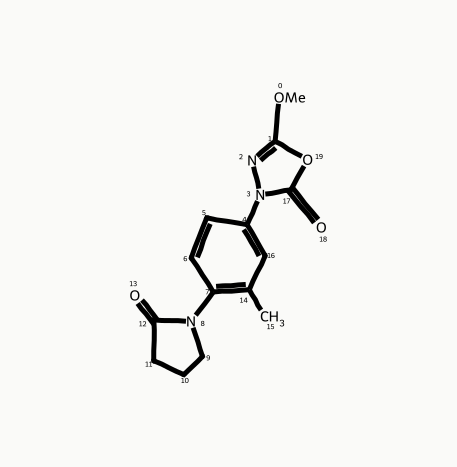 COc1nn(-c2ccc(N3CCCC3=O)c(C)c2)c(=O)o1